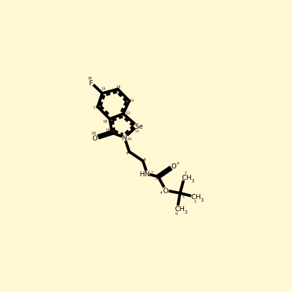 CC(C)(C)OC(=O)NCCn1[se]c2ccc(F)cc2c1=O